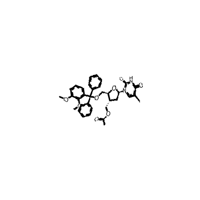 COc1cccc(C(OC[C@H]2O[C@@H](n3cc(C)c(=O)[nH]c3=O)C[C@@H]2COC(C)=O)(c2ccccc2)c2ccccc2)c1OC